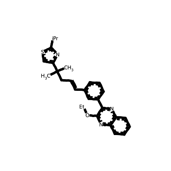 CCOc1nc2ccccc2nc1-c1cccc(/C=C/CC(C)(C)c2csc(C(C)C)n2)c1